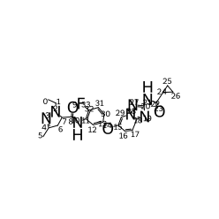 CCN1N=C(C)CC1C(=O)Nc1cc(Oc2ccc3nc(NC(=O)C4CC4)nn3c2)ccc1F